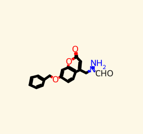 NN(C=O)Cc1cc(=O)oc2cc(OCc3ccccc3)ccc12